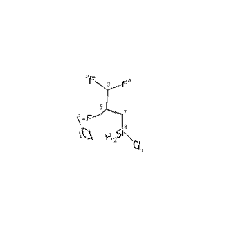 CCl.FC(F)C(F)C[SiH2]Cl